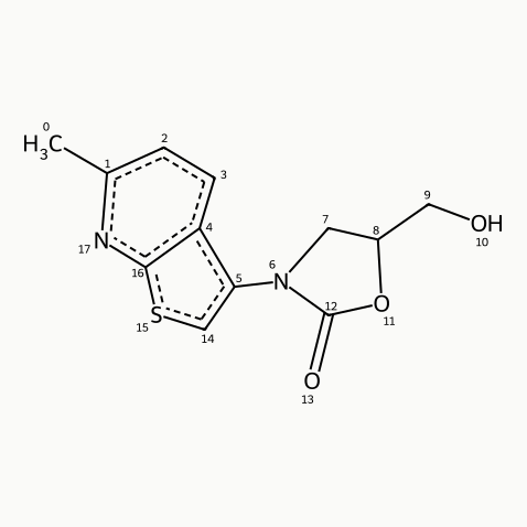 Cc1ccc2c(N3CC(CO)OC3=O)csc2n1